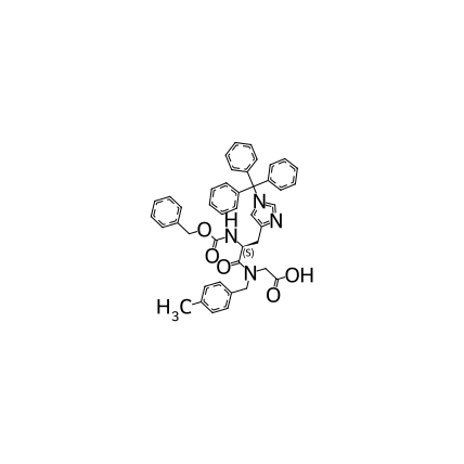 Cc1ccc(CN(CC(=O)O)C(=O)[C@H](Cc2cn(C(c3ccccc3)(c3ccccc3)c3ccccc3)cn2)NC(=O)OCc2ccccc2)cc1